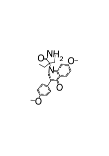 CCC(CC)(C(N)=O)n1cc(-c2ccc(OC)cc2)c(=O)c2ccc(OC)cc21